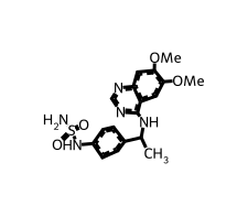 COc1cc2ncnc(NC(C)c3ccc(NS(N)(=O)=O)cc3)c2cc1OC